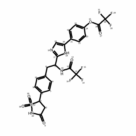 O=C1CC(c2ccc(CC(NC(=O)C(F)(F)F)c3ncc(-c4ccc(OC(=O)C(F)(F)F)cc4)[nH]3)cc2)S(=O)(=O)N1